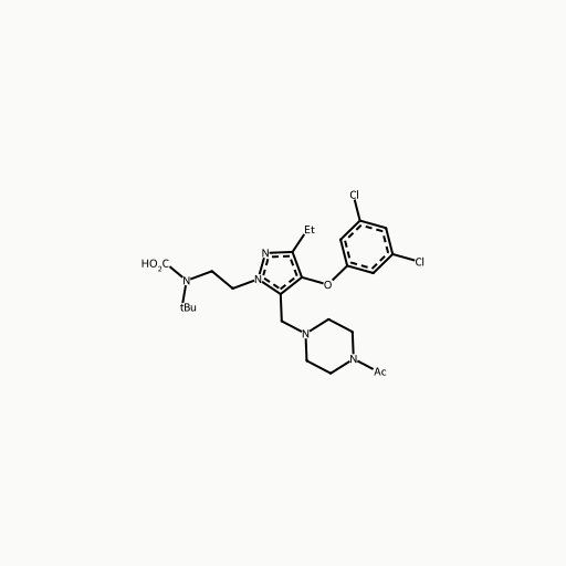 CCc1nn(CCN(C(=O)O)C(C)(C)C)c(CN2CCN(C(C)=O)CC2)c1Oc1cc(Cl)cc(Cl)c1